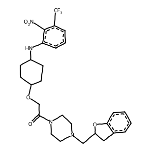 O=C(COC1CCC(Nc2cccc(C(F)(F)F)c2[N+](=O)[O-])CC1)N1CCN(CC2Cc3ccccc3O2)CC1